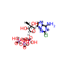 C#C[C@@]1(O)[C@H](O)[C@@H](COP(=O)(O)OP(=O)(O)OP(=O)(O)O)O[C@H]1c1cnc2c(N)nc(Cl)nn12